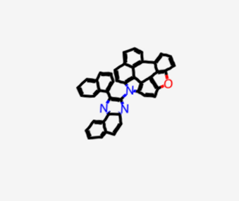 c1ccc2c(-c3nc4c(ccc5ccccc54)nc3-n3c4ccc5cccc6c5c4c4c5c(ccc43)oc3cccc-6c35)cccc2c1